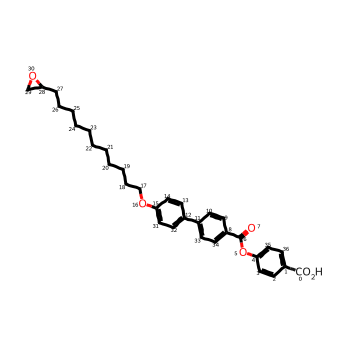 O=C(O)c1ccc(OC(=O)c2ccc(-c3ccc(OCCCCCCCCCCCC4CO4)cc3)cc2)cc1